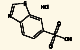 Cl.O=S(=O)(O)c1ccc2ncsc2c1